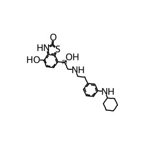 O=c1[nH]c2c(O)ccc([C@@H](O)CNCCc3cccc(NC4CCCCC4)c3)c2s1